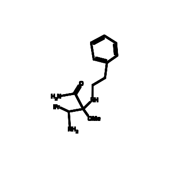 COC(NCCc1ccccc1)(C(N)=O)C(N)C(C)C